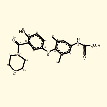 Cc1cc(NC(=O)C(=O)O)cc(C)c1Oc1ccc(O)c(C(=O)N2CCOCC2)c1